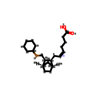 O=C(O)CCC/C=C\C[C@H]1[C@H]2CC[C@H](C2)[C@H]1CSC1CCCCC1